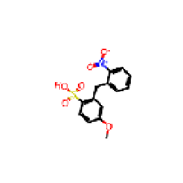 COc1ccc(S(=O)(=O)O)c(Cc2ccccc2[N+](=O)[O-])c1